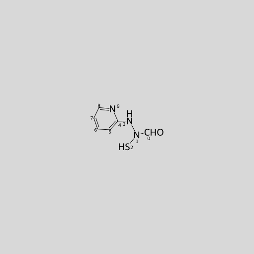 O=CN(S)Nc1ccccn1